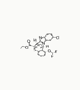 CCOC(=O)[C@@H]1Sc2cccc(OC(F)F)c2[C@H]2C[C@@H]1c1nc3ccc(Cl)cc3n12